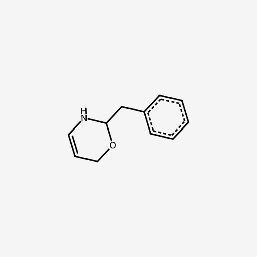 C1=CNC(Cc2ccccc2)OC1